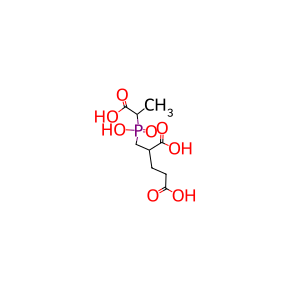 CC(C(=O)O)P(=O)(O)CC(CCC(=O)O)C(=O)O